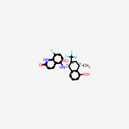 C[C@H]1C[C@](O)(C(F)(F)F)[C@@H](Nc2ccc(F)c3[nH]c(=O)ccc23)c2cccc(O)c21